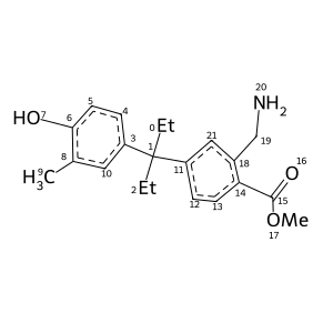 CCC(CC)(c1ccc(O)c(C)c1)c1ccc(C(=O)OC)c(CN)c1